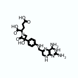 NC1=NC2=C(N=C(CNc3ccc(C4(O)CN(C(CCC(=O)O)C(=O)O)C4=O)cc3)CN2)C(N)N1